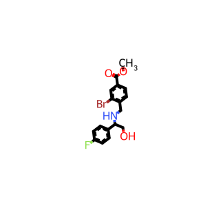 COC(=O)c1ccc(CNC(CO)c2ccc(F)cc2)c(Br)c1